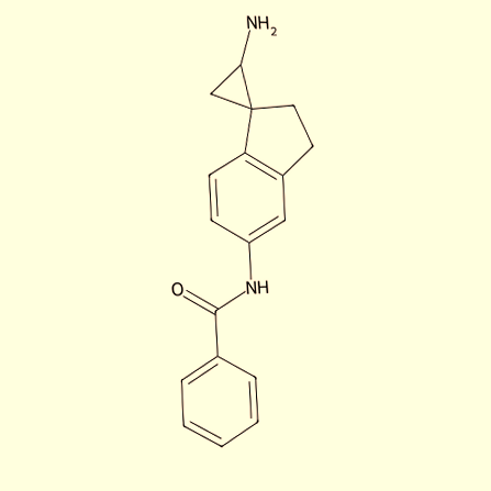 NC1CC12CCc1cc(NC(=O)c3ccccc3)ccc12